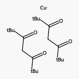 CC(C)(C)C(=O)CC(=O)C(C)(C)C.CC(C)(C)C(=O)CC(=O)C(C)(C)C.[Cu]